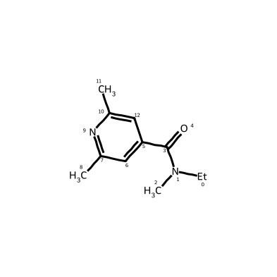 CCN(C)C(=O)c1cc(C)nc(C)c1